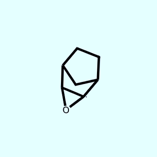 C1CC2CC1[C]1OC12